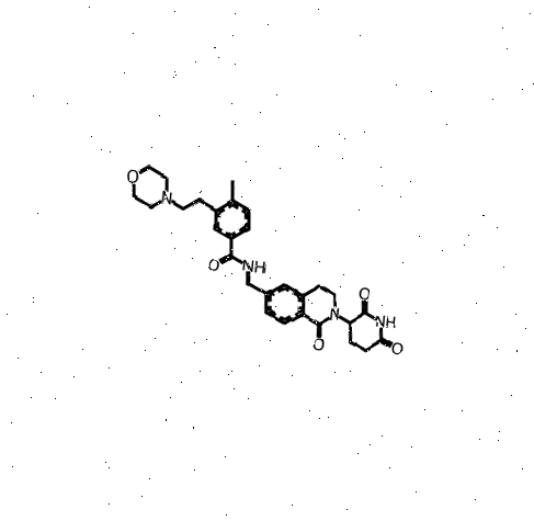 Cc1ccc(C(=O)NCc2ccc3c(c2)CCN(C2CCC(=O)NC2=O)C3=O)cc1CCN1CCOCC1